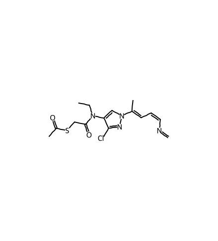 C=N/C=C\C=C(/C)n1cc(N(CC)C(=O)CSC(C)=O)c(Cl)n1